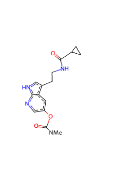 CNC(=O)Oc1cnc2[nH]cc(CCNC(=O)C3CC3)c2c1